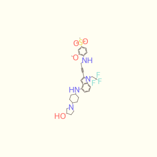 COc1cc(S(C)(=O)=O)ccc1NCC#Cc1cc2c(NC3CCC(N4CC[C@H](O)C4)CC3)cccc2n1CC(F)(F)F